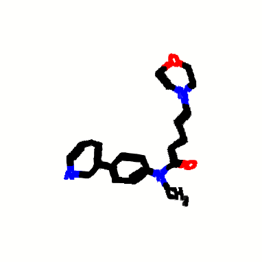 CN(C(=O)CCCCN1CCOCC1)c1ccc(-c2cccnc2)cc1